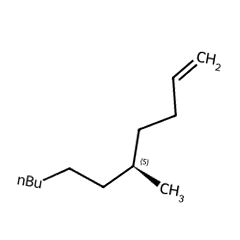 C=CCC[C@@H](C)CCCCCC